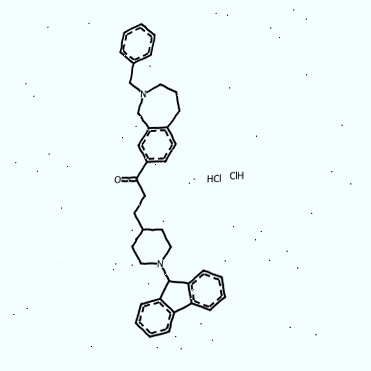 Cl.Cl.O=C(CCC1CCN(C2c3ccccc3-c3ccccc32)CC1)c1ccc2c(c1)CN(Cc1ccccc1)CCC2